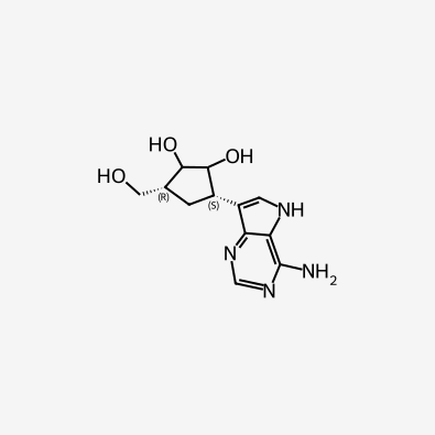 Nc1ncnc2c([C@@H]3C[C@H](CO)C(O)C3O)c[nH]c12